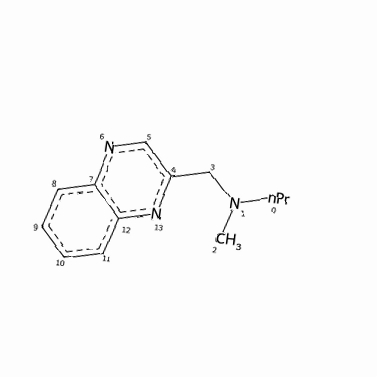 CCCN(C)Cc1cnc2ccccc2n1